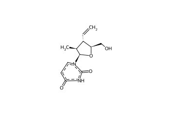 C=C[C@H]1[C@H](C)[C@H](n2ccc(=O)[nH]c2=O)O[C@@H]1CO